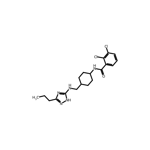 CCCc1n[nH]c(NCC2CCC(NC(=O)c3cccc(Cl)c3Cl)CC2)n1